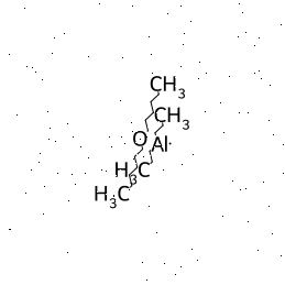 CCCCCCOCCCCCC.CC[CH2][Al][CH2]CC